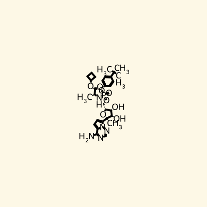 C[C@H](NP(=O)(OC[C@H]1O[C@@](C)(c2ccc3c(N)ncnn23)[C@H](O)[C@@H]1O)Oc1ccc(C(C)(C)C)cc1)C(=O)OC1CCC1